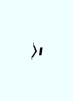 C=C.ICI